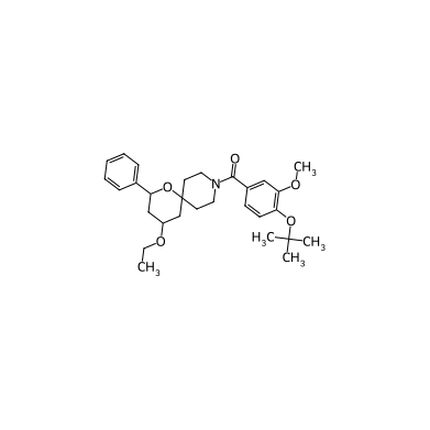 CCOC1CC(c2ccccc2)OC2(CCN(C(=O)c3ccc(OC(C)(C)C)c(OC)c3)CC2)C1